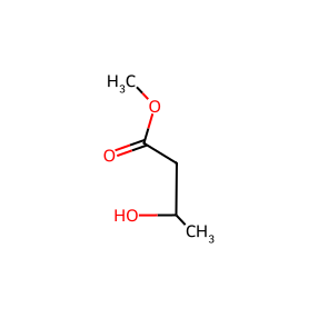 COC(=O)CC(C)O